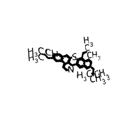 CC(C)Cc1c2c(cc3cc(CC(C)(C)C)ccc13)-c1nccc3c1c(cc1ccc(CC(C)(C)C)cc13)S2